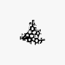 CC(C)(C)c1ccc2c(c1)[CH]([Hf]([C]1=CC=CC1)=[C](c1ccc(C(F)(F)F)cc1)c1ccc(C(F)(F)F)cc1)c1cc(C(C)(C)C)ccc1-2